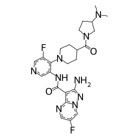 CN(C)C1CCN(C(=O)C2CCN(c3c(F)cncc3NC(=O)c3c(N)nn4cc(F)cnc34)CC2)C1